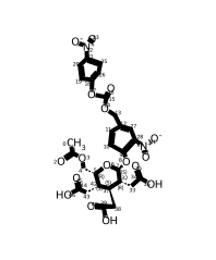 CC(=O)OC[C@@H]1O[C@@H](Oc2ccc(COC(=O)Oc3ccc([N+](=O)[O-])cc3)cc2[N+](=O)[O-])[C@H](CC(=O)O)[C@@H](CC(=O)O)[C@@H]1CC(=O)O